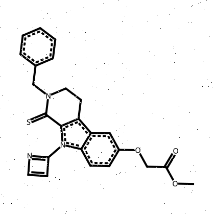 COC(=O)COc1ccc2c(c1)c1c(n2C2=NC=C2)C(=S)N(Cc2ccccc2)CC1